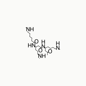 CNCCCCCC(=O)NC(CCCNC)CC(=O)NC(CCCCNC)CC(C)=O